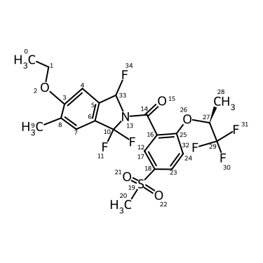 CCOc1cc2c(cc1C)C(F)(F)N(C(=O)c1cc(S(C)(=O)=O)ccc1O[C@@H](C)C(F)(F)F)C2F